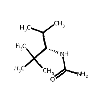 CC(C)[C@H](NC(N)=O)C(C)(C)C